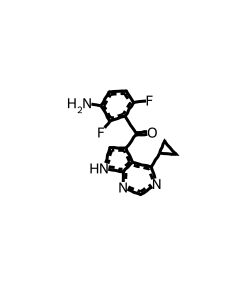 Nc1ccc(F)c(C(=O)c2c[nH]c3ncnc(C4CC4)c23)c1F